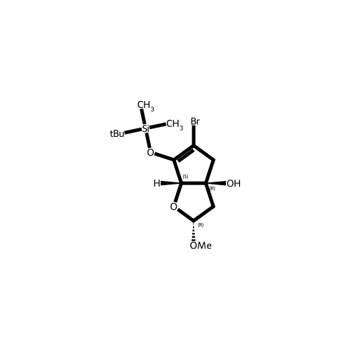 CO[C@H]1C[C@@]2(O)CC(Br)=C(O[Si](C)(C)C(C)(C)C)[C@H]2O1